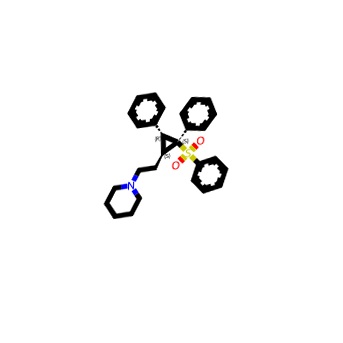 O=S(=O)(c1ccccc1)[C@@]1(c2ccccc2)[C@@H](CCN2CCCCC2)[C@@H]1c1ccccc1